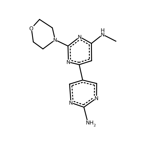 CNc1cc(-c2cnc(N)nc2)nc(N2CCOCC2)n1